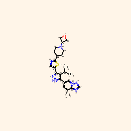 Cc1cc(-c2[nH]nc(-c3cnc(C4CCN(C5COC5)CC4)s3)c2C(C)C)cn2ncnc12